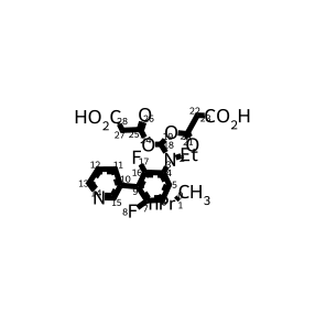 CCCC.CCN(c1ccc(F)c(-c2cccnc2)c1F)C(OC(=O)CC(=O)O)OC(=O)CC(=O)O